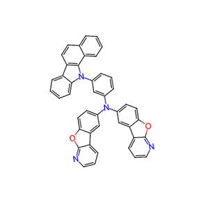 c1cc(N(c2ccc3oc4ncccc4c3c2)c2ccc3oc4ncccc4c3c2)cc(-n2c3ccccc3c3ccc4ccccc4c32)c1